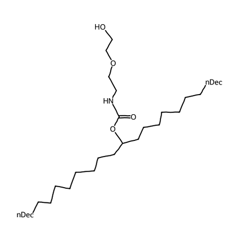 CCCCCCCCCCCCCCCCCCC(CCCCCCCCCCCCCCCCC)OC(=O)NCCOCCO